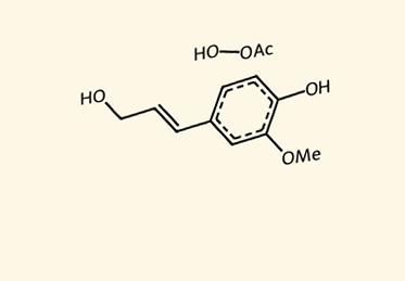 CC(=O)OO.COc1cc(C=CCO)ccc1O